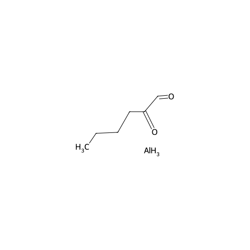 CCCCC(=O)C=O.[AlH3]